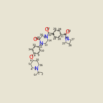 CC(C)N1CCC(Oc2ccc(N3CCN(C(=O)c4ccc(C(=O)N5CCC5)cc4)CC3=O)cc2)CC1